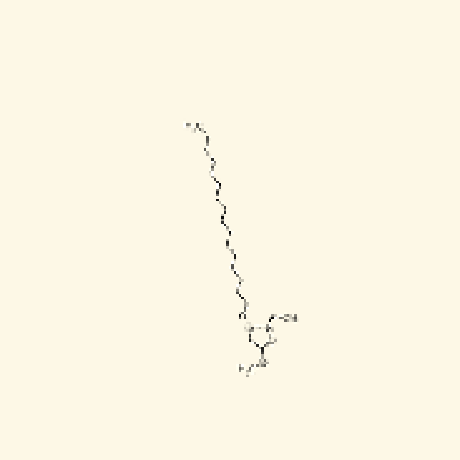 CCCCCCCCCCCCCCCCO[C@H]1CC(OC)O[C@@H]1CO